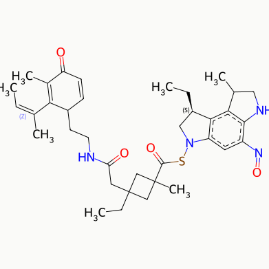 C/C=C(/C)C1=C(C)C(=O)C=CC1CCNC(=O)CC1(CC)CC(C)(C(=O)SN2C[C@@H](CC)c3c2cc(N=O)c2c3C(C)CN2)C1